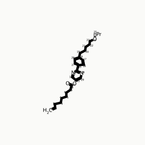 C=CCCCCCCC(=O)Oc1cnc(-c2ccc(CCCCCOCCC)cc2)nc1